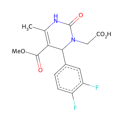 COC(=O)C1=C(C)NC(=O)N(CC(=O)O)C1c1ccc(F)c(F)c1